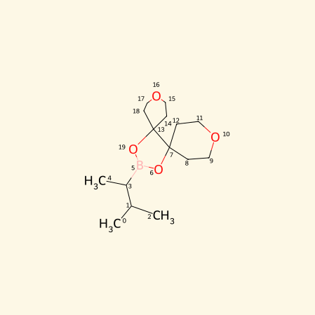 CC(C)C(C)B1OC2(CCOCC2)C2(CCOCC2)O1